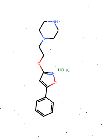 Cl.Cl.c1ccc(-c2cc(OCCN3CCNCC3)no2)cc1